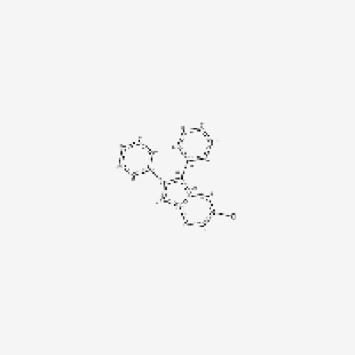 Clc1ccc2oc(-c3ccccc3)c(-c3ccccc3)c2c1